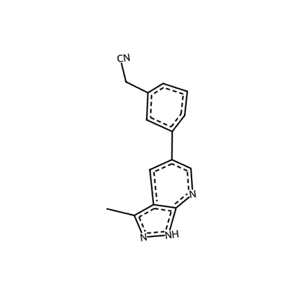 Cc1n[nH]c2ncc(-c3cccc(CC#N)c3)cc12